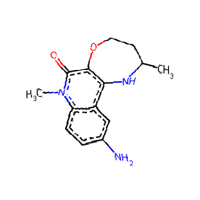 CC1CCOc2c(c3cc(N)ccc3n(C)c2=O)N1